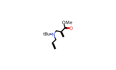 C=CCN(CC(=C)C(=O)OC)C(C)(C)C